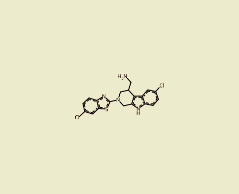 NCC1CN(c2nc3ccc(Cl)cc3s2)Cc2[nH]c3ccc(Cl)cc3c21